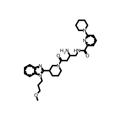 COCCCn1c(C2CCCN(C(=O)CC(N)CNC(=O)c3cccc(N4CCCCC4)n3)C2)nc2ccccc21